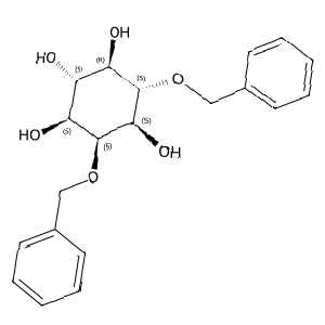 O[C@@H]1[C@@H](O)[C@H](OCc2ccccc2)[C@@H](O)[C@@H](OCc2ccccc2)[C@H]1O